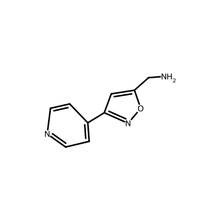 NCc1cc(-c2ccncc2)no1